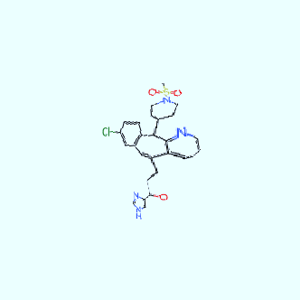 CS(=O)(=O)N1CCC(C2c3ccc(Cl)cc3C=C(CCC(=O)c3c[nH]cn3)c3cccnc32)CC1